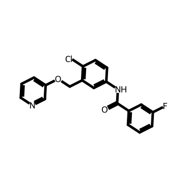 O=C(Nc1ccc(Cl)c(COc2cccnc2)c1)c1cccc(F)c1